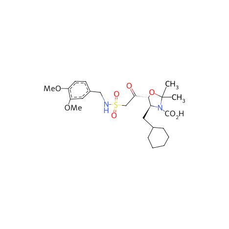 COc1ccc(CNS(=O)(=O)CC(=O)[C@@H]2OC(C)(C)N(C(=O)O)[C@H]2CC2CCCCC2)cc1OC